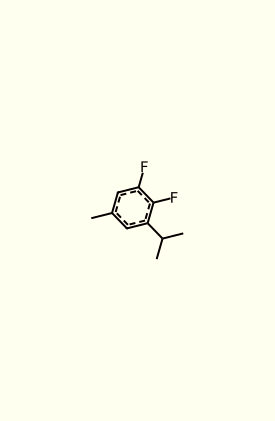 Cc1cc(F)c(F)c(C(C)C)c1